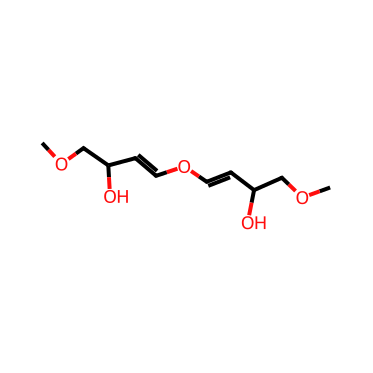 COCC(O)C=COC=CC(O)COC